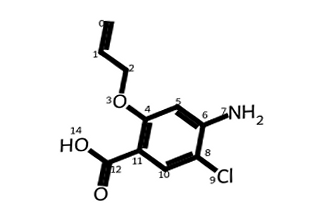 C=CCOc1cc(N)c(Cl)cc1C(=O)O